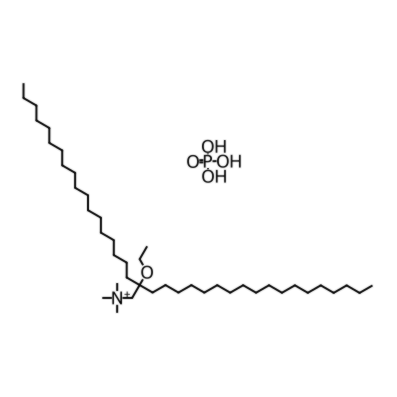 CCCCCCCCCCCCCCCCCCC(CCCCCCCCCCCCCCCCCC)(C[N+](C)(C)C)OCC.O=P(O)(O)O